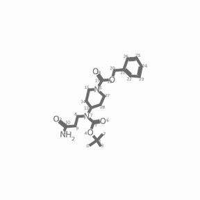 CC(C)(C)OC(=O)N(CCC(N)=O)C1CCN(C(=O)OCc2ccccc2)CC1